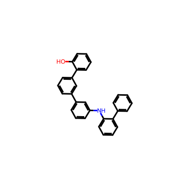 Oc1ccccc1-c1cccc(-c2cccc(Nc3ccccc3-c3ccccc3)c2)c1